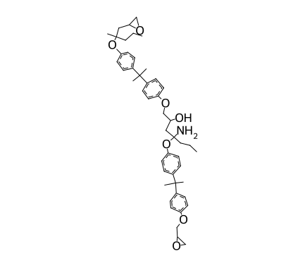 CCCC(C)(CC1CO1)Oc1ccc(C(C)(C)c2ccc(OCC(O)CC(N)(CCC)Oc3ccc(C(C)(C)c4ccc(OCC5CO5)cc4)cc3)cc2)cc1